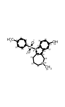 Cc1ccc(S(=O)(=O)n2c3c(c4cc(O)ccc42)CN(C)CCC3)cc1